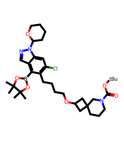 CC(C)(C)OC(=O)N1CCCC2(CC(OCCCCc3c(Cl)cc4c(cnn4C4CCCCO4)c3B3OC(C)(C)C(C)(C)O3)C2)C1